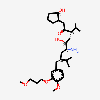 COCCCOc1cc(C[C@@H](C[C@H](N)[C@@H](O)C[C@H](C(=O)CC2CCC[C@H]2O)C(C)C)C(C)C)ccc1OC